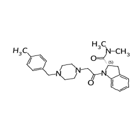 Cc1ccc(CN2CCN(CC(=O)N3c4ccccc4C[C@H]3C(=O)N(C)C)CC2)cc1